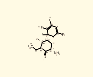 C[C@@H]1[C@H](C2(C)CC(F)=CC(F)=C2F)C[C@H](N)C(=O)N1CC(F)(F)F